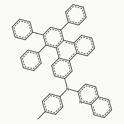 Cc1ccc(N(c2ccc3c(c2)c2ccccc2c2c(-c4ccccc4)cc(-c4ccccc4)c(-c4ccccc4)c32)c2ccc3ccccc3n2)cc1